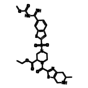 CCOC(=O)C1CN(S(=O)(=O)c2cc3ccc(C(=N)NC(=O)OC)cc3s2)CCN1C(=O)c1nc2c(s1)CNC(C)C2